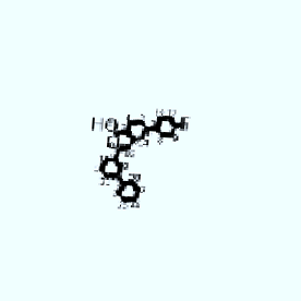 O=C(O)c1ccc(-c2ccc(F)cc2)cc1C=Cc1cccc(-c2ccccc2)c1